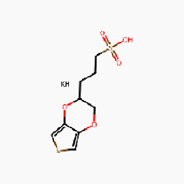 O=S(=O)(O)CCCC1COc2cscc2O1.[KH]